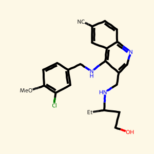 CCC(CCO)NCc1cnc2ccc(C#N)cc2c1NCc1ccc(OC)c(Cl)c1